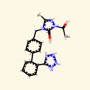 CCCCC(=O)n1nc(C(C)C)n(Cc2ccc(-c3ccccc3-c3nnn[nH]3)cc2)c1=O